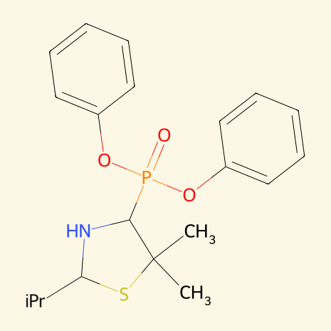 CC(C)C1NC(P(=O)(Oc2ccccc2)Oc2ccccc2)C(C)(C)S1